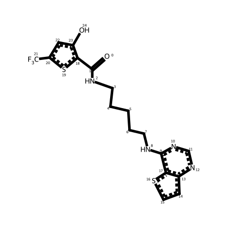 O=C(NCCCCCNc1ncnc2ccsc12)c1sc(C(F)(F)F)cc1O